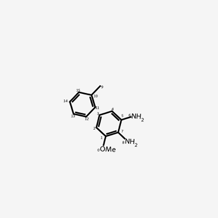 COc1cccc(N)c1N.Cc1ccccc1